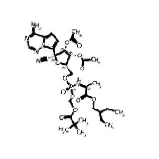 CCC(CC)COC(=O)[C@H](C)N[P@](=O)(OCOC(=O)C(C)(C)C)OC[C@H]1O[C@@](C#N)(c2ccc3c(N)ncnn23)[C@H](OC(C)=O)[C@@H]1OC(C)=O